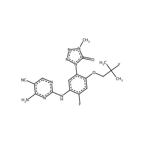 Cn1nnn(-c2cc(Nc3ncc(C#N)c(N)n3)c(F)cc2OCC(C)(C)F)c1=O